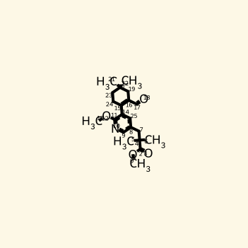 COC(=O)C(C)(C)Cc1cnc(OC)c(C2=C(C=O)CC(C)(C)CC2)c1